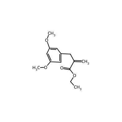 C=C(Cc1cc(OC)cc(OC)c1)C(=O)OCC